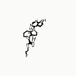 O=C(OCCF)N1CCC[C@@H]2[C@H]1CCN2c1ncnc2[nH]ccc12